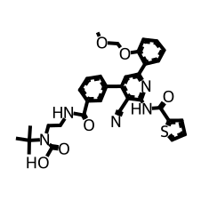 COCOc1ccccc1-c1cc(-c2cccc(C(=O)NCCN(C(=O)O)C(C)(C)C)c2)c(C#N)c(NC(=O)c2cccs2)n1